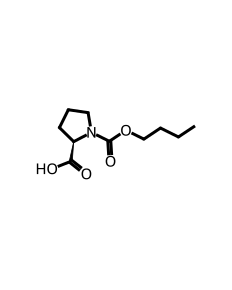 CCCCOC(=O)N1CCC[C@@H]1C(=O)O